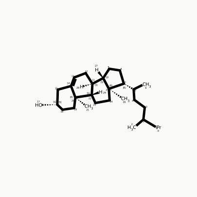 CC(C)C(C)CCC(C)[C@H]1CC[C@H]2[C@@H]3CC=C4C[C@@H](O)CC[C@]4(C)[C@H]3CC[C@]12C